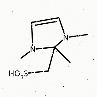 CN1C=CN(C)C1(C)CS(=O)(=O)O